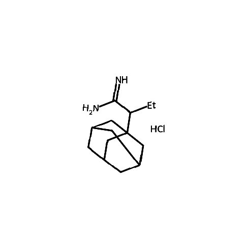 CCC(C(=N)N)C12CC3CC(CC(C3)C1)C2.Cl